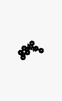 c1ccc(-c2ccc(-c3nc(-n4c5cccc6c7cccc8c9ccccc9n(c9cccc4c9c65)c78)nc4ccccc34)nc2)cc1